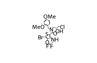 COc1ccc(CN(C[C@@H](O)CCl)C(=O)c2sc(Br)c3c2NCC(F)(F)O3)c(OC)c1